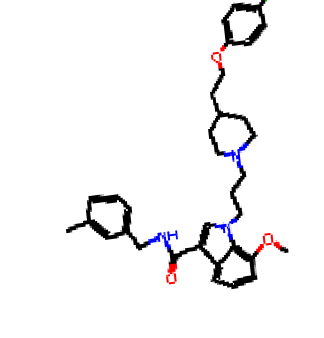 COc1cccc2c(C(=O)NCc3cccc(C)c3)cn(CCCN3CCC(CCOc4ccc(Cl)cc4)CC3)c12